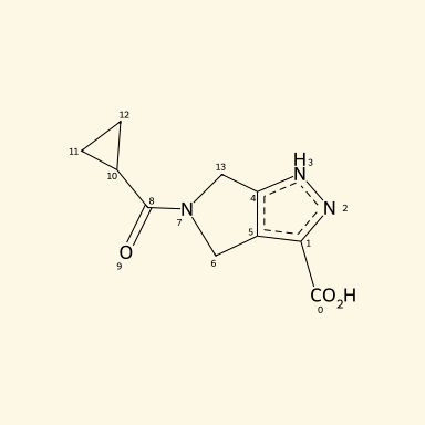 O=C(O)c1n[nH]c2c1CN(C(=O)C1CC1)C2